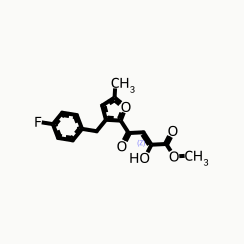 COC(=O)/C(O)=C/C(=O)c1oc(C)cc1Cc1ccc(F)cc1